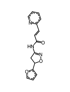 O=C(/C=C/c1ccccn1)NC1=NOC(c2ccco2)C1